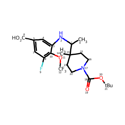 CC(Nc1cc(C(=O)O)cc(F)c1OC(F)(F)F)C1(C)CCN(C(=O)OC(C)(C)C)CC1